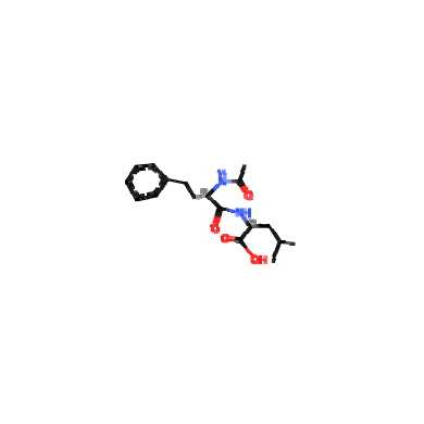 CC(=O)N[C@@H](CCc1ccccc1)C(=O)N[C@@H](CC(C)C)C(=O)O